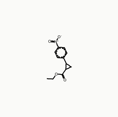 CCOC(=O)C1CC1c1ccc([N+](=O)[O-])cc1